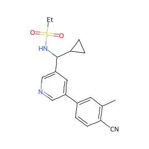 CCS(=O)(=O)NC(c1cncc(-c2ccc(C#N)c(C)c2)c1)C1CC1